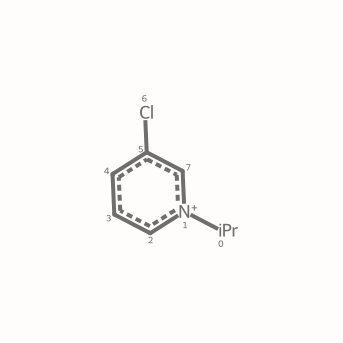 CC(C)[n+]1cccc(Cl)c1